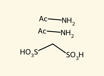 CC(N)=O.CC(N)=O.O=S(=O)(O)CS(=O)(=O)O